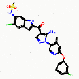 Cc1cc(Oc2cccc(Cl)c2)ncc1-n1ncc(C(=O)c2cc3cc(Cl)c(NS(C)(=O)=O)cc3[nH]2)c1N